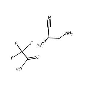 C[C@@H](C#N)CN.O=C(O)C(F)(F)F